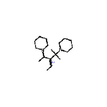 C/C=C(\C(C)N1CCCCC1)C(C)(C)N1CCCCC1